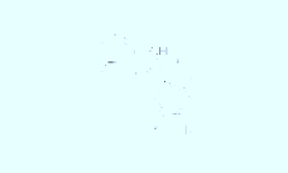 Cc1cccc(NS(=O)(=O)c2cc(Cl)c(N)cc2Cl)c1